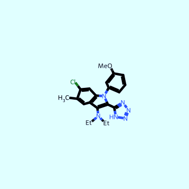 CCN(CC)c1c(-c2nnn[nH]2)n(-c2cccc(OC)c2)c2cc(Cl)c(C)cc12